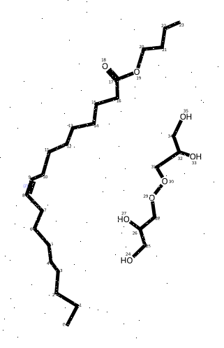 CCCCCCCC/C=C\CCCCCCCC(=O)OCCCC.OCC(O)COOCC(O)CO